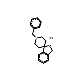 Cl.c1ccc(CN2CCC3(CC2)OCc2ccccc23)cc1